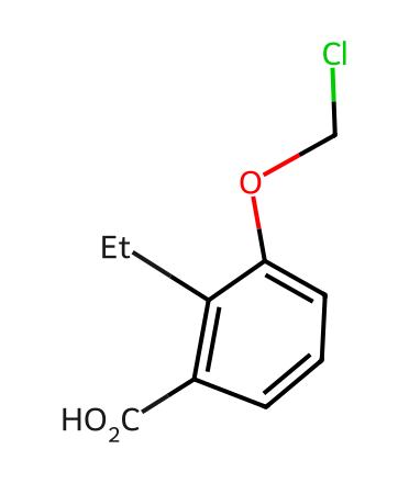 CCc1c(OCCl)cccc1C(=O)O